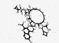 COc1ccc2nc(C(F)F)c3c(c2c1)CC[C@]1(C[C@H]2C(=O)N[C@]4(C(=O)NS(=O)(=O)C5(C)CC5)C[C@H]4/C=C\CCCCC[C@H](N(CC4CCC4)C(=O)O)C(=O)N2C1)O3